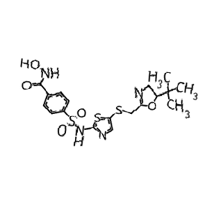 CC(C)(C)C1CN=C(CSc2cnc(NS(=O)(=O)c3ccc(C(=O)NO)cc3)s2)O1